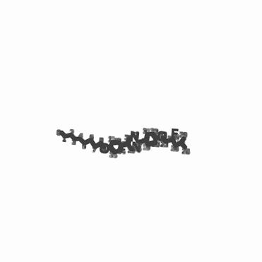 CCCCCCCCCOc1ccc(-c2cnc(-c3ccc(OCC(F)CC(C)C)cc3)nc2)cc1